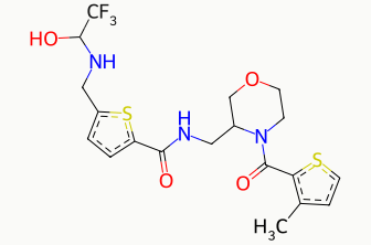 Cc1ccsc1C(=O)N1CCOCC1CNC(=O)c1ccc(CNC(O)C(F)(F)F)s1